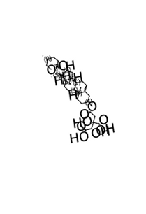 C[C@@H]1CC[C@@]2(OC1)O[C@H]1C[C@H]3[C@@H]4CC=C5C[C@@H](OC(=O)CC(O)(C(=O)O)C(O)C(=O)O)CC[C@]5(C)[C@H]4CC[C@]3(C)[C@H]1[C@@H]2C